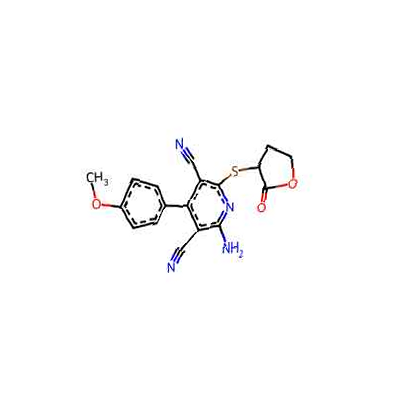 COc1ccc(-c2c(C#N)c(N)nc(SC3CCOC3=O)c2C#N)cc1